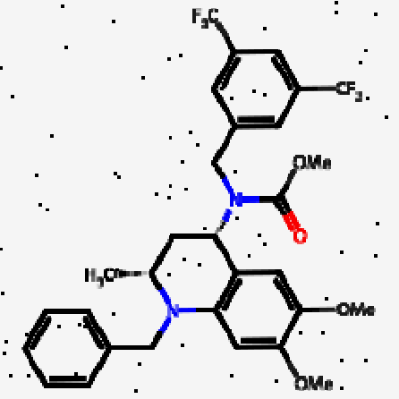 COC(=O)N(Cc1cc(C(F)(F)F)cc(C(F)(F)F)c1)[C@H]1C[C@@H](C)N(Cc2ccccc2)c2cc(OC)c(OC)cc21